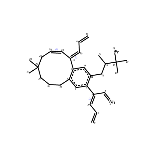 C=C/C=C(\C=N)c1cc2c(cc1CC(C)C(C)(C)C(C)C)C(=C/C=C)/C=C\CC(C)(C)CCC2